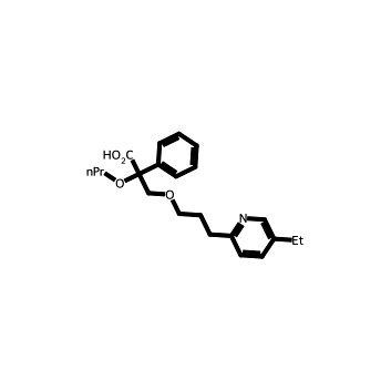 CCCOC(COCCCc1ccc(CC)cn1)(C(=O)O)c1ccccc1